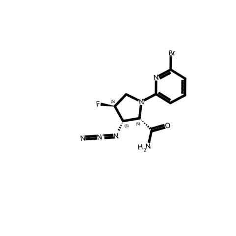 [N-]=[N+]=N[C@H]1[C@@H](C(N)=O)N(c2cccc(Br)n2)C[C@@H]1F